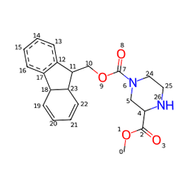 COC(=O)C1CN(C(=O)OCC2c3ccccc3C3C=CC=CC32)CCN1